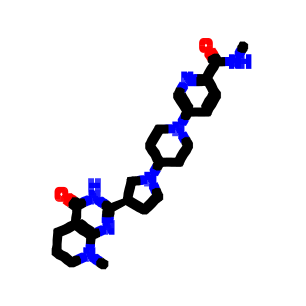 CNC(=O)c1ccc(N2CCC(N3CC[C@@H](c4nc5c(c(=O)[nH]4)CCCN5C)C3)CC2)cn1